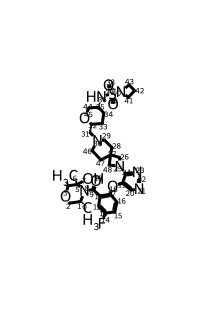 C[C@@H]1COC[C@](C)(O)N1C(=O)c1cc(F)ccc1Oc1cncnc1N1CC2(CCN(C[C@@H]3CC[C@@H](NS(=O)(=O)N4CCC4)CO3)CC2)C1